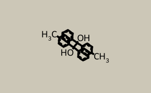 Cc1ccc(C(O)(c2ccccc2)C(O)(c2ccccc2)c2ccc(C)cc2)cc1